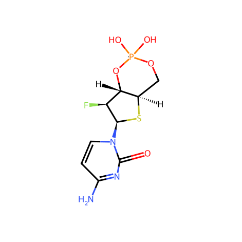 Nc1ccn([C@@H]2S[C@@H]3CO[P](O)(O)O[C@H]3[C@@H]2F)c(=O)n1